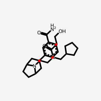 NC(=O)c1cccc(C2CC3CCC(C2)N3CCN(CC2CCCC2)C(=O)CCO)c1